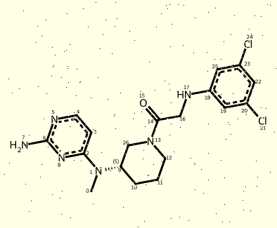 CN(c1ccnc(N)n1)[C@H]1CCCN(C(=O)CNc2cc(Cl)cc(Cl)c2)C1